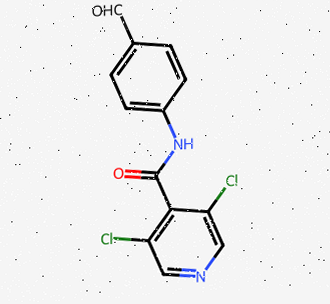 O=Cc1ccc(NC(=O)c2c(Cl)cncc2Cl)cc1